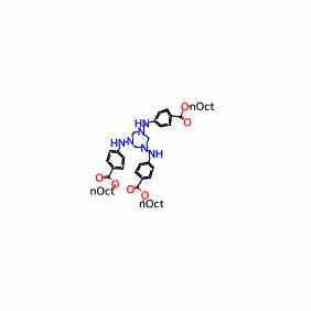 CCCCCCCCOC(=O)c1ccc(NN2CN(Nc3ccc(C(=O)OCCCCCCCC)cc3)CN(Nc3ccc(C(=O)OCCCCCCCC)cc3)C2)cc1